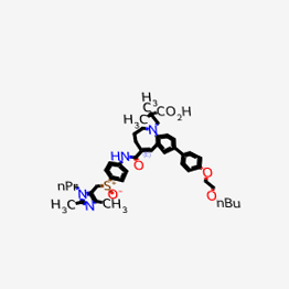 CCCCOCCOc1ccc(-c2ccc3c(c2)/C=C(/C(=O)Nc2ccc([S+]([O-])Cc4c(C)nc(C)n4CCC)cc2)CCCN3CC(C)(C)C(=O)O)cc1